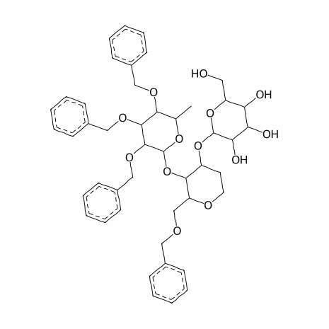 CC1OC(OC2C(COCc3ccccc3)OCCC2OC2OC(CO)C(O)C(O)C2O)C(OCc2ccccc2)C(OCc2ccccc2)C1OCc1ccccc1